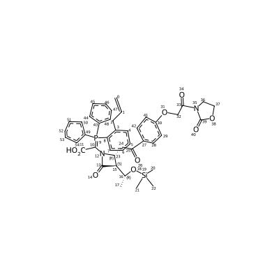 C=CCc1ccccc1P(=C(C(=O)O)N1C(=O)[C@H]([C@@H](C)O[Si](C)(C)C)[C@H]1CC(=O)c1ccc(OCC(=O)N2CCOC2=O)cc1)(c1ccccc1)c1ccccc1